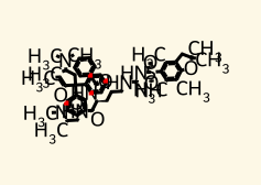 CC=C(OC(=O)N(C)C(C)CNC(=O)[C@H](CCCNC(=N)NS(=O)(=O)c1c(C)c(C)c2c(c1C)CC(C)(C)O2)NC(=O)c1ccccc1)C(CC(C)N(C)C)(c1ccccc1)c1ccccc1